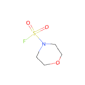 O=S(=O)(F)N1CCOCC1